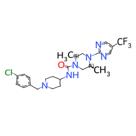 C[C@@H]1CN(c2ncc(C(F)(F)F)cn2)[C@@H](C)CN1C(=O)NC1CCN(Cc2ccc(Cl)cc2)CC1